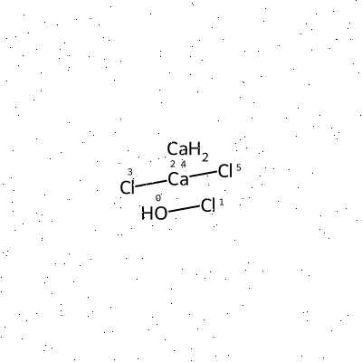 OCl.[CaH2].[Cl][Ca][Cl]